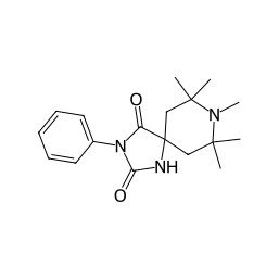 CN1C(C)(C)CC2(CC1(C)C)NC(=O)N(c1ccccc1)C2=O